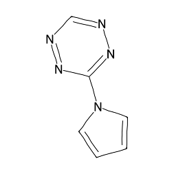 c1ccn(-c2nncnn2)c1